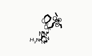 CCOP(=O)(C=C[C@H](Cn1cnc2c(N)ncnc21)O[C@H]1CCCCO1)OCC